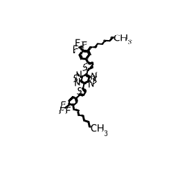 CCCCCCCCc1cc(-c2ccc(-c3c4c(c(-c5ccc(-c6ccc(C(F)(F)F)c(CCCCCCCC)c6)s5)c5nsnc35)N=S=N4)s2)ccc1C(F)(F)F